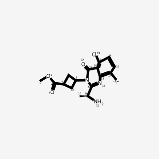 COC(=O)C1CC(n2c([C@H](C)N)nc3c(F)ccc(Cl)c3c2=O)C1